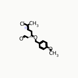 COc1ccc(CO[C@H](CC=O)C/C=C(\C)Cl)cc1